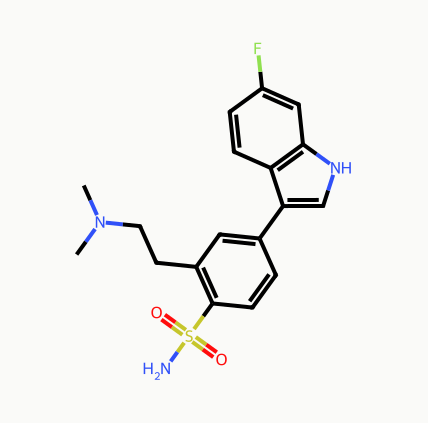 CN(C)CCc1cc(-c2c[nH]c3cc(F)ccc23)ccc1S(N)(=O)=O